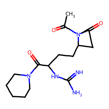 CC(=O)N1C(=O)CC1CCC(NC(=N)N)C(=O)N1CCCCC1